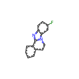 Fc1ccc2nc3c4ccccc4ccn3c2c1